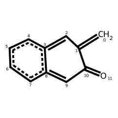 C=C1C=c2ccccc2=CC1=O